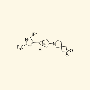 CC(C)n1nc(C(F)(F)F)cc1C1C2CC(N3CCC4(C3)CS(=O)(=O)C4)C[C@H]21